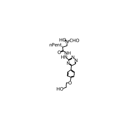 CCCCC[C@H](CN(O)C=O)C(=O)NNc1nncc(-c2ccc(OCCO)cc2)n1